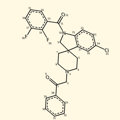 O=C(CN1CCC2(CC1)CN(C(=O)c1cccc(F)c1F)c1ccc(Cl)cc12)c1ccccc1